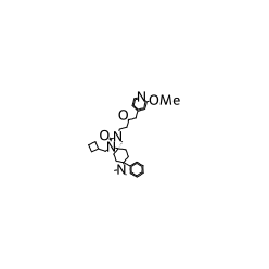 COc1cc(CC(=O)CCN2C[C@]3(CC[C@](c4ccccc4)(N(C)C)CC3)N(CC3CCC3)C2=O)ccn1